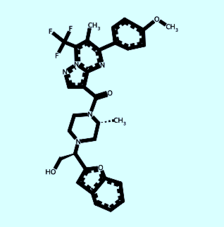 COc1ccc(-c2nc3c(C(=O)N4CCN([C@H](CO)c5cc6ccccc6o5)C[C@H]4C)cnn3c(C(F)(F)F)c2C)cc1